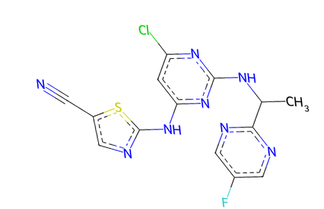 CC(Nc1nc(Cl)cc(Nc2ncc(C#N)s2)n1)c1ncc(F)cn1